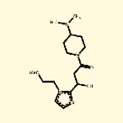 COCCn1ccnc1C(O)CC(=O)N1CCC(N(C)C)CC1